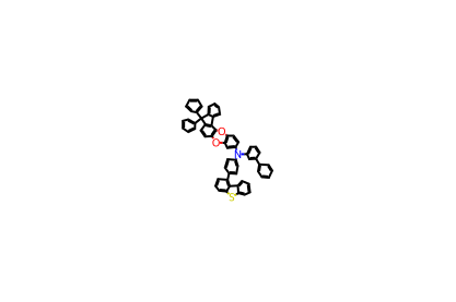 c1ccc(-c2cccc(N(c3ccc(-c4cccc5sc6ccccc6c45)cc3)c3ccc4c(c3)Oc3ccc5c(c3O4)-c3ccccc3C5(c3ccccc3)c3ccccc3)c2)cc1